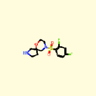 O=S(=O)(c1ccc(F)cc1F)N1CCOC2(CCNC2)C1